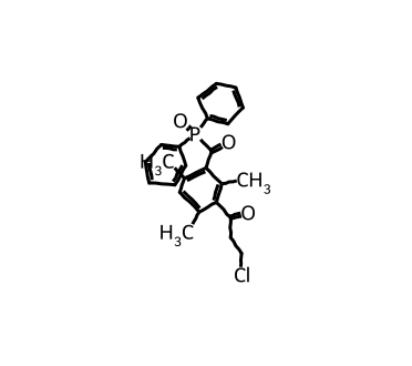 Cc1cc(C)c(C(=O)P(=O)(c2ccccc2)c2ccccc2)c(C)c1C(=O)CCCl